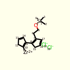 C[Si](C)(C)OCCC1=C(C2=[C]([Zr+2])CC=C2)CC=C1.[Cl-].[Cl-]